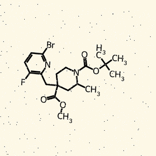 COC(=O)C1(Cc2nc(Br)ccc2F)CCN(C(=O)OC(C)(C)C)C(C)C1